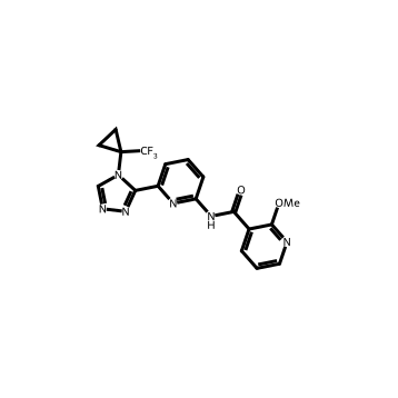 COc1ncccc1C(=O)Nc1cccc(-c2nncn2C2(C(F)(F)F)CC2)n1